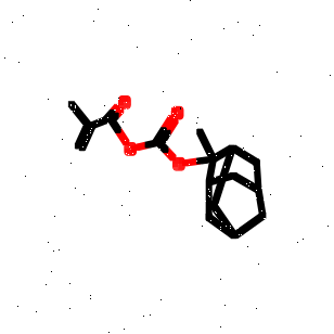 C=C(C)C(=O)OC(=O)OC1(C)C2CC3CC(C2)CC1C3